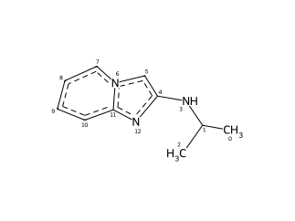 CC(C)Nc1cn2ccccc2n1